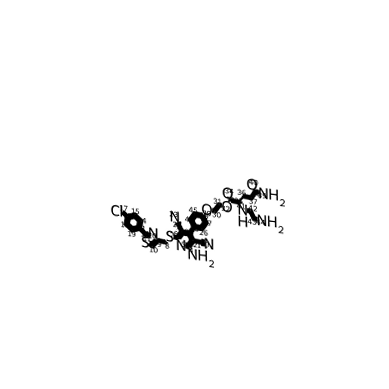 N#Cc1c(N)nc(SCc2csc(-c3ccc(Cl)cc3)n2)c(C#N)c1-c1ccc(OCCOC(=O)[C@@H](CCC(N)=O)NCCN)cc1